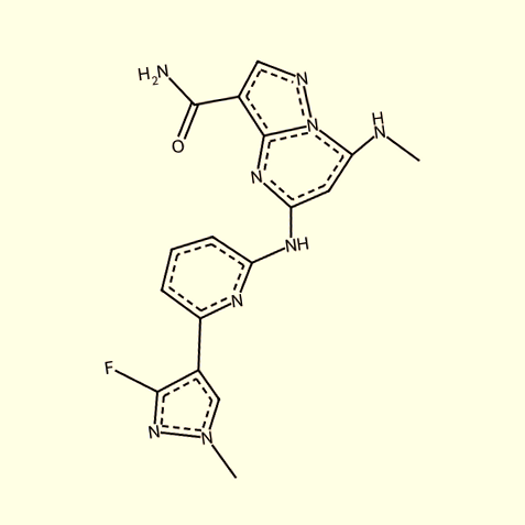 CNc1cc(Nc2cccc(-c3cn(C)nc3F)n2)nc2c(C(N)=O)cnn12